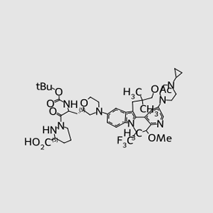 COC(C)c1ncc(N2CCN(C3CC3)CC2)cc1-c1c(CC(C)(C)COC(C)=O)c2cc(N3CCO[C@@H](CC(NC(=O)OC(C)(C)C)C(=O)N4CCC[C@@H](C(=O)O)N4)C3)ccc2n1CC(F)(F)F